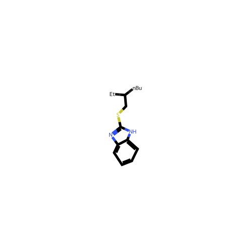 CCCCC(CC)CSc1nc2ccccc2[nH]1